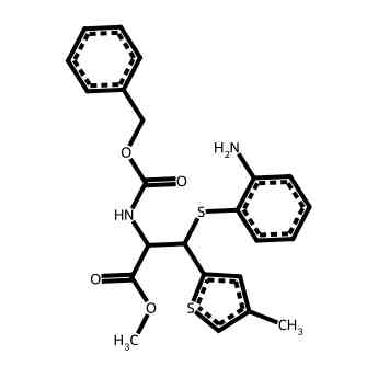 COC(=O)C(NC(=O)OCc1ccccc1)C(Sc1ccccc1N)c1cc(C)cs1